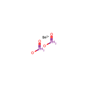 O=[PH2][O-].O=[PH2][O-].[Be+2]